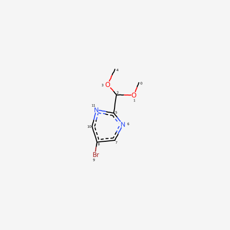 COC(OC)c1ncc(Br)cn1